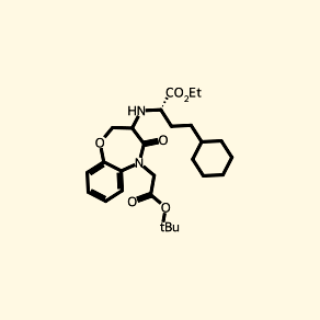 CCOC(=O)[C@H](CCC1CCCCC1)NC1COc2ccccc2N(CC(=O)OC(C)(C)C)C1=O